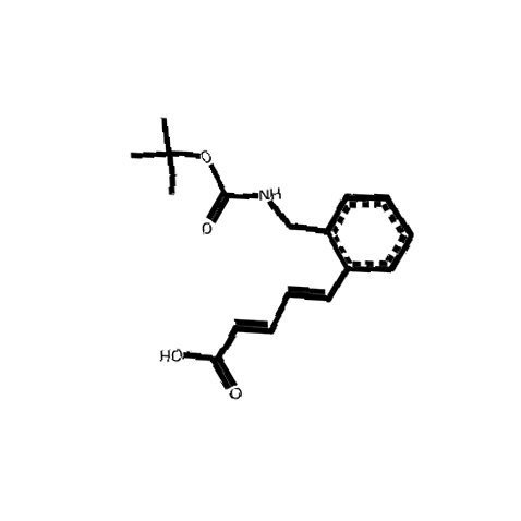 CC(C)(C)OC(=O)NCc1ccccc1C=CC=CC(=O)O